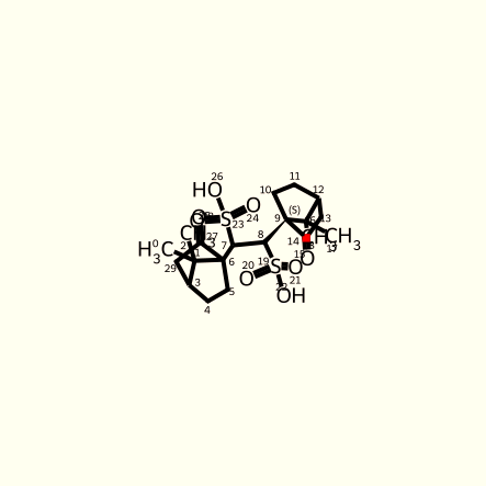 CC1(C)C2CCC1(C(C([C@]13CCC(CC1=O)C3(C)C)S(=O)(=O)O)S(=O)(=O)O)C(=O)C2